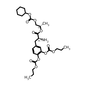 CCCOC(=O)Oc1ccc(C[C@H](N)C(=O)O[C@@H](C)COC(=O)OC2CCCCC2)cc1OC(=O)OCCC